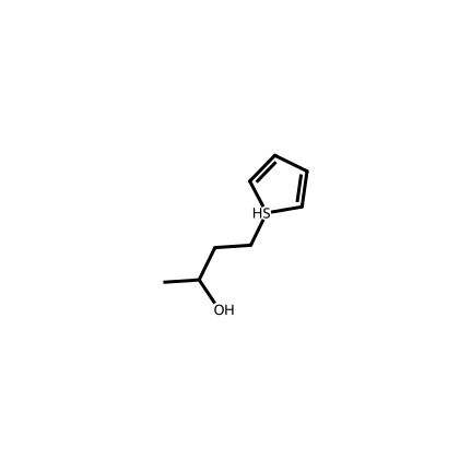 CC(O)CC[SH]1C=CC=C1